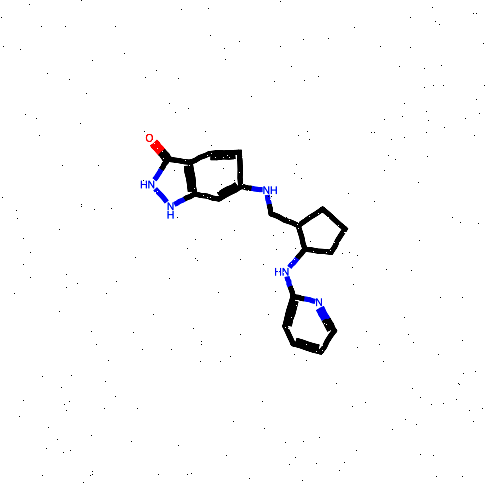 O=c1[nH][nH]c2cc(NCC3CCCC3Nc3ccccn3)ccc12